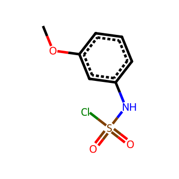 COc1cccc(NS(=O)(=O)Cl)c1